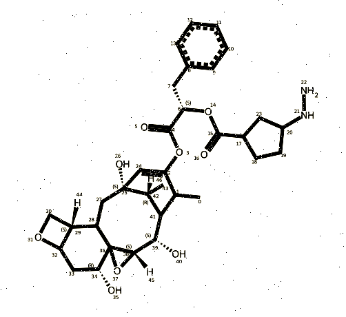 CC1C(OC(=O)[C@H](Cc2ccccc2)OC(=O)C2CCC(NN)C2)=C[C@]2(O)CC3[C@H]4COC4C[C@@H](O)C34O[C@H]4[C@@H](O)C1[C@H]2C